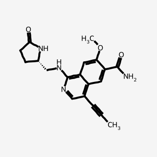 CC#Cc1cnc(NC[C@@H]2CCC(=O)N2)c2cc(OC)c(C(N)=O)cc12